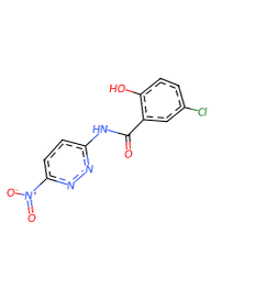 O=C(Nc1ccc([N+](=O)[O-])nn1)c1cc(Cl)ccc1O